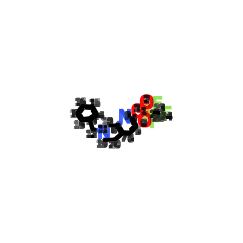 O=S(=O)(Oc1ccc2c(n1)CN(Cc1ccccc1)CC2)C(F)(F)F